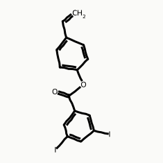 C=Cc1ccc(OC(=O)c2cc(I)cc(I)c2)cc1